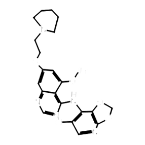 CC(C)Oc1cc(OCCN2CCCCC2)cc2ncnc(Nc3c(Cl)cnc4c3OCO4)c12